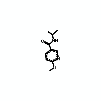 COc1ccc(C(=O)NC(C)C)cn1